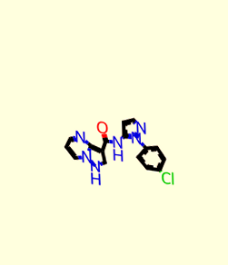 O=C(Nc1ccnn1-c1ccc(Cl)cc1)C1=C2N=CC=CN2NC1